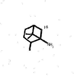 CC1CCC2CC1(N)C2(C)C.I